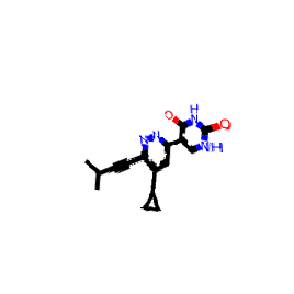 CC(C)C#Cc1nnc(-c2c[nH]c(=O)[nH]c2=O)cc1C1CC1